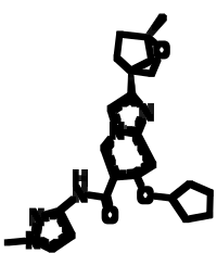 Cn1ccc(NC(=O)c2cn3cc([C@@]45CC[C@@](C)(C4)OC5)nc3cc2OC2CCCC2)n1